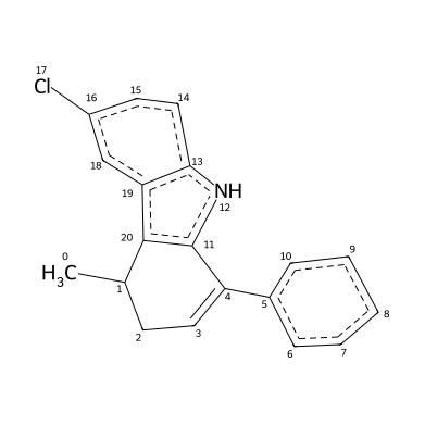 CC1CC=C(c2ccccc2)c2[nH]c3ccc(Cl)cc3c21